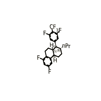 CCC[C@@H]1CC[C@H]2c3cc(F)cc(F)c3CC[C@@H]2[C@H]1c1cc(F)c(C(F)(F)F)c(F)c1